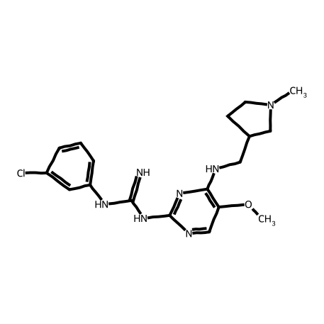 COc1cnc(NC(=N)Nc2cccc(Cl)c2)nc1NCC1CCN(C)C1